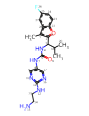 Cc1c(C(NC(=O)Nc2cnc(NCCN)nc2)C(C)C)oc2ccc(F)cc12